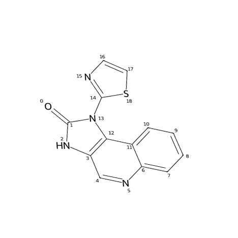 O=c1[nH]c2cnc3ccccc3c2n1-c1nccs1